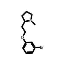 CN1CCCC1CCOc1cccc(Br)c1